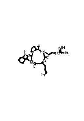 CC(C)CCCC1CC(=O)N[C@H](Cc2c[nH]c3ccccc23)C(=O)N2CCC[C@H]2C(=O)N[C@@H](CCCNC(=N)N)C(=O)O1